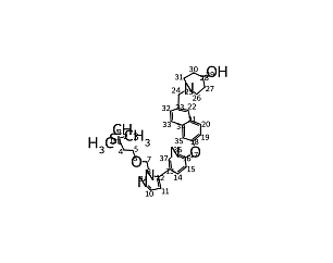 C[Si](C)(C)CCOCn1nccc1-c1ccc(Oc2ccc3cc(CN4CCC(O)CC4)ccc3c2)nc1